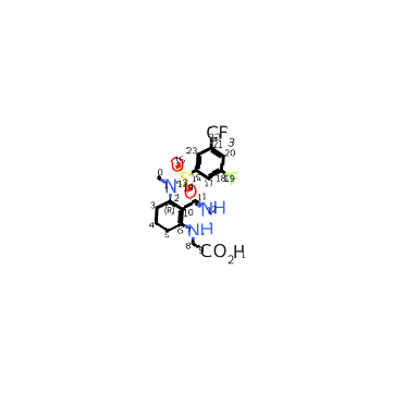 CN([C@@H]1CCCC(NCC(=O)O)=C1C=N)S(=O)(=O)c1cc(F)cc(C(F)(F)F)c1